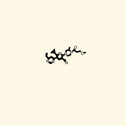 C=Cc1cc(-c2cc(C#N)c(N3CCN(C(=O)CCOC)C(C)C3)nc2C2CC2)ncn1